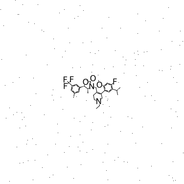 CCN1CCC(CN2C(=O)O[C@H](c3cc(C)cc(C(F)(F)F)c3)[C@@H]2C)=C(c2cc(C(C)C)c(F)cc2OC)C1